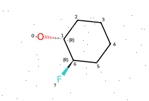 [O][C@@H]1CCCC[C@H]1F